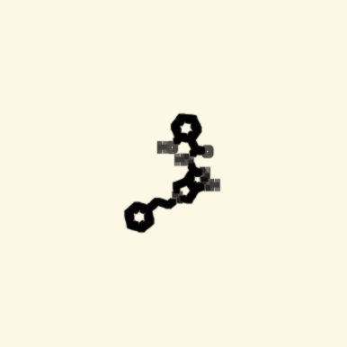 O=C(Nc1n[nH]c2c1CN(CCc1ccccc1)C2)c1ccccc1O